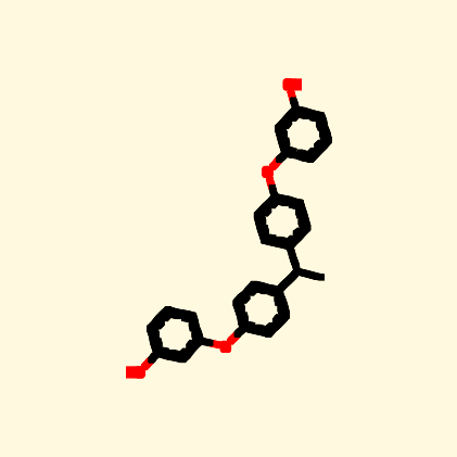 CC(c1ccc(Oc2cccc(O)c2)cc1)c1ccc(Oc2cccc(O)c2)cc1